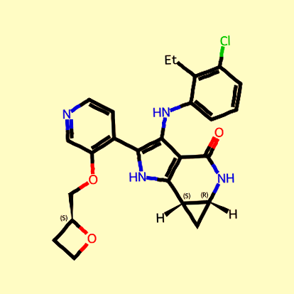 CCc1c(Cl)cccc1Nc1c(-c2ccncc2OC[C@@H]2CCO2)[nH]c2c1C(=O)N[C@@H]1C[C@H]21